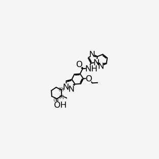 CCOc1cc2nn([C@H]3CCC[C@H](O)[C@@H]3C)cc2cc1C(=O)Nc1cnc2cccnn12